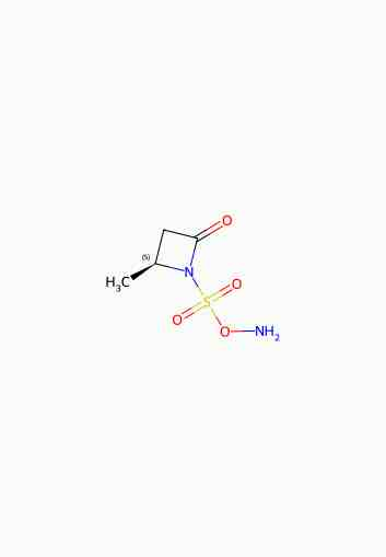 C[C@H]1CC(=O)N1S(=O)(=O)ON